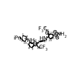 CC(C)N1CCC(Nc2cccc3c(CC(F)(F)F)c(C#CCNc4ccc(S(N)(=O)=O)cc4OCC(F)(F)F)sc23)CC1